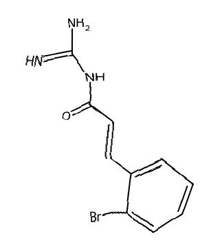 N=C(N)NC(=O)/C=C/c1ccccc1Br